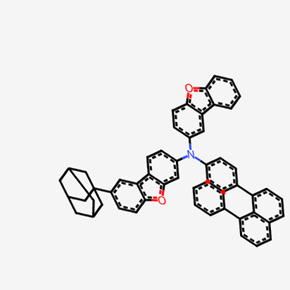 c1ccc(-c2cccc3cccc(-c4ccc(N(c5ccc6c(c5)oc5ccc(C78CC9CC(CC(C9)C7)C8)cc56)c5ccc6oc7ccccc7c6c5)cc4)c23)cc1